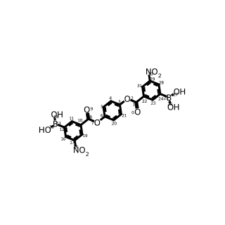 O=C(Oc1ccc(OC(=O)c2cc(B(O)O)cc([N+](=O)[O-])c2)cc1)c1cc(B(O)O)cc([N+](=O)[O-])c1